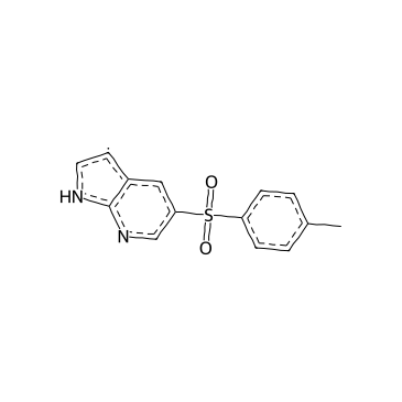 Cc1ccc(S(=O)(=O)c2cnc3[nH]c[c]c3c2)cc1